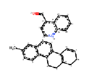 Cc1ccc2c3c(ccc2c1)C1=C(CCC=C1)CC3.O=Cc1ccnc2ccccc12